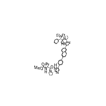 CCN(CC)C(C(=O)N1CCC[C@H]1c1ncc(-c2ccc3cc(-c4ccc(-c5cnc([C@@H]6CCCN6C(=O)[C@@H](NC(=O)OC)C(C)C)[nH]5)cc4)ccc3c2)[nH]1)c1ccccc1